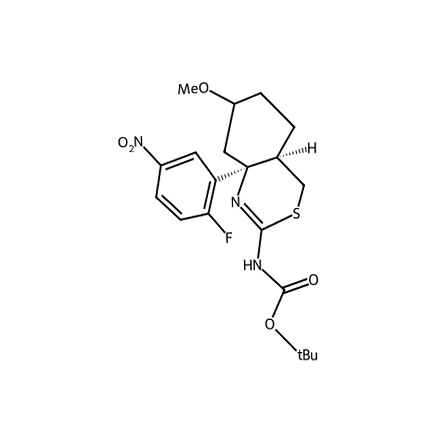 COC1CC[C@H]2CSC(NC(=O)OC(C)(C)C)=N[C@@]2(c2cc([N+](=O)[O-])ccc2F)C1